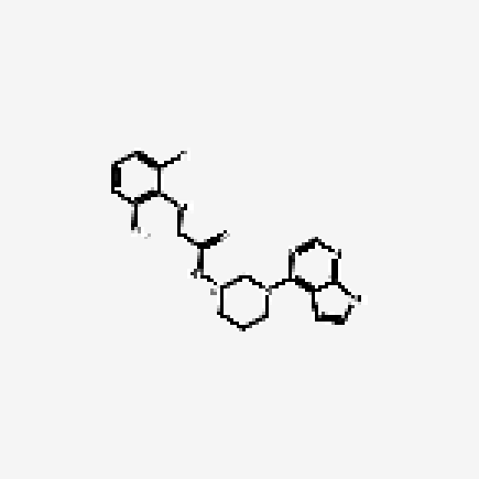 Cc1cccc(Cl)c1NCC(=O)N[C@@H]1CCCN(c2ncnc3[nH]ccc23)C1